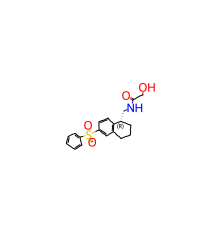 O=C(CO)NC[C@@H]1CCCc2cc(S(=O)(=O)c3ccccc3)ccc21